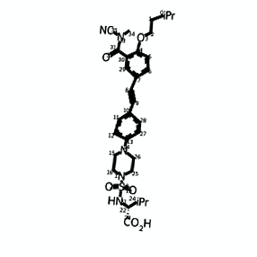 CC(C)CCOc1ccc(C#Cc2ccc(N3CCN(S(=O)(=O)N[C@@H](C(=O)O)C(C)C)CC3)cc2)cc1C(=O)N(C)C#N